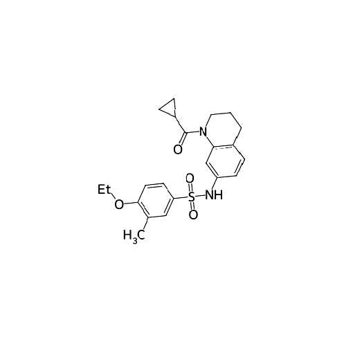 CCOc1ccc(S(=O)(=O)Nc2ccc3c(c2)N(C(=O)C2CC2)CCC3)cc1C